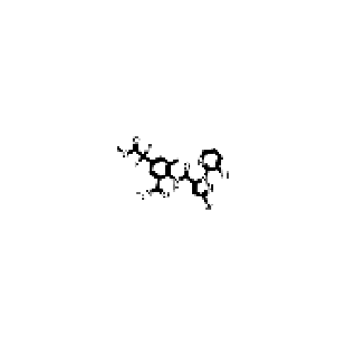 COC(=O)C(F)(F)c1cc(C)c(NC(=O)c2cc(Br)nn2-c2ncccc2Cl)c(C(N)=O)c1